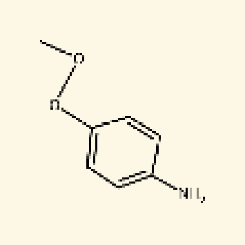 COOc1ccc(N)cc1